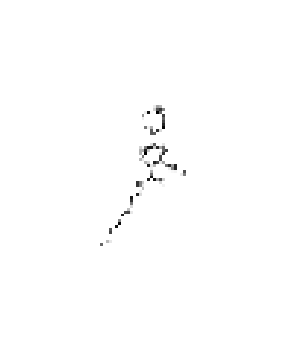 CCOCCOCCNC(=O)c1cnc(N2CCNCC2)nc1N